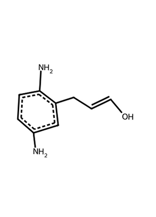 Nc1ccc(N)c(CC=CO)c1